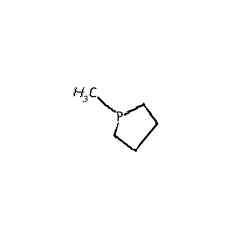 CP1CCCC1